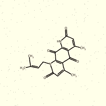 CC(C)=CCn1c2c(c(C)cc1=O)C(=O)c1c(C)cc(=O)[nH]c1C2=O